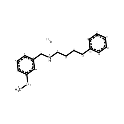 COc1cccc(CNCCCCc2ccccc2)c1.Cl